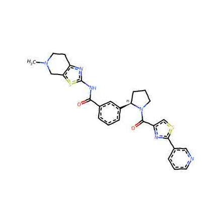 CN1CCc2nc(NC(=O)c3cccc([C@H]4CCCN4C(=O)c4csc(-c5cccnc5)n4)c3)sc2C1